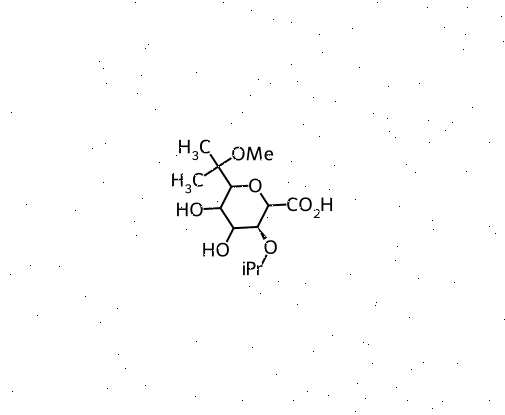 COC(C)(C)C1OC(C(=O)O)[C@@H](OC(C)C)C(O)C1O